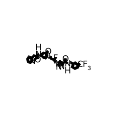 O=C(Cc1ccccn1)Nc1ccn(CCC(F)Cn2cc(C(=O)NCc3cccc(C(F)(F)F)c3)nn2)c(=O)c1